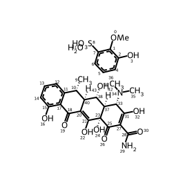 COc1c(O)cccc1S(=O)(=O)O.C[C@H]1c2cccc(O)c2C(=O)C2=C(O)[C@]3(O)C(=O)C(C(N)=O)=C(O)[C@@H](N(C)C)[C@@H]3[C@@H](O)[C@@H]21.O